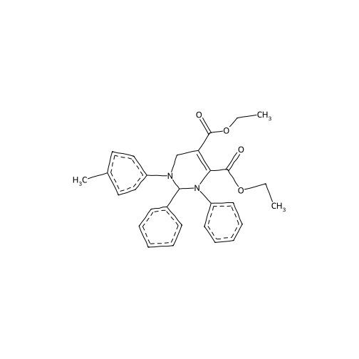 CCOC(=O)C1=C(C(=O)OCC)N(c2ccccc2)C(c2ccccc2)N(c2ccc(C)cc2)C1